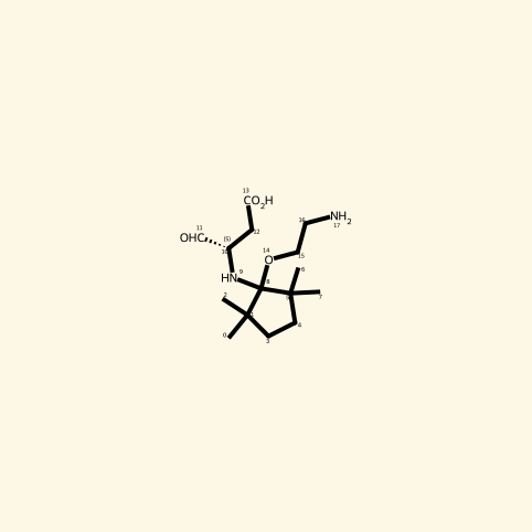 CC1(C)CCC(C)(C)C1(N[C@H](C=O)CC(=O)O)OCCN